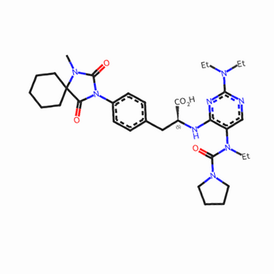 CCN(CC)c1ncc(N(CC)C(=O)N2CCCC2)c(N[C@@H](Cc2ccc(N3C(=O)N(C)C4(CCCCC4)C3=O)cc2)C(=O)O)n1